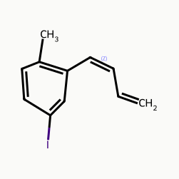 C=C/C=C\c1cc(I)ccc1C